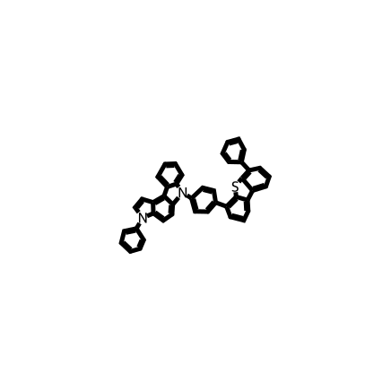 c1ccc(-c2cccc3c2sc2c(-c4ccc(-n5c6ccccc6c6c7ccn(-c8ccccc8)c7ccc65)cc4)cccc23)cc1